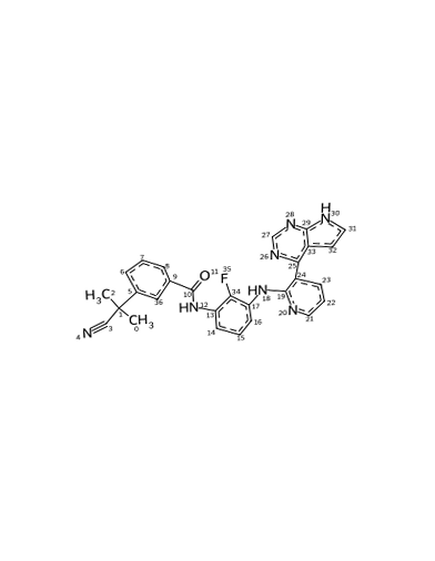 CC(C)(C#N)c1cccc(C(=O)Nc2cccc(Nc3ncccc3-c3ncnc4[nH]ccc34)c2F)c1